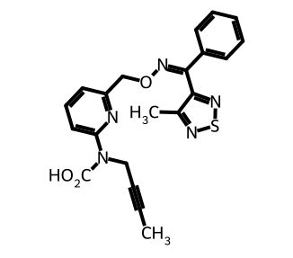 CC#CCN(C(=O)O)c1cccc(CON=C(c2ccccc2)c2nsnc2C)n1